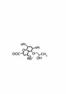 CCCc1cc(CCC)c2oc(C(=O)[O-])cc(=O)c2c1OCC(C)O.[Na+]